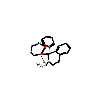 O=C(O)N1CCc2ccccc2[C@]1(c1ccccc1)[C@@H]1CN2CCC1CC2